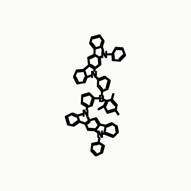 Cc1cc(C)c(B(c2cccc(-n3c4ccccc4c4cc5c(cc43)c3ccccc3n5-c3ccccc3)c2)c2cccc(-n3c4ccccc4c4cc5c6ccccc6n(-c6ccccc6)c5cc43)c2)c(C)c1